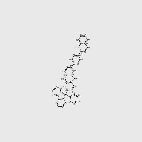 c1ccc(C2(c3ccccc3)c3ccccc3-c3cc4c(cc32)Oc2ccc(-c3ccc(-c5ccc6ccccc6n5)cc3)cc2O4)cc1